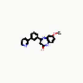 CCOc1ccc2c(c1)N=C(c1cccc(-c3cccnc3)c1)CC(=O)N2